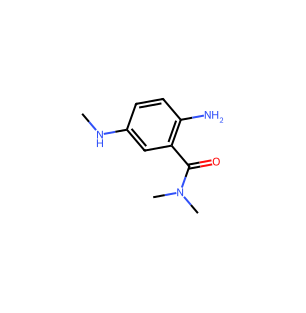 CNc1ccc(N)c(C(=O)N(C)C)c1